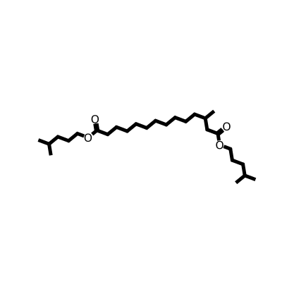 CC(C)CCCOC(=O)CCCCCCCCCCC(C)CC(=O)OCCCC(C)C